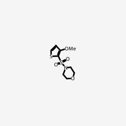 COc1ccsc1S(=O)(=O)N1CCOCC1